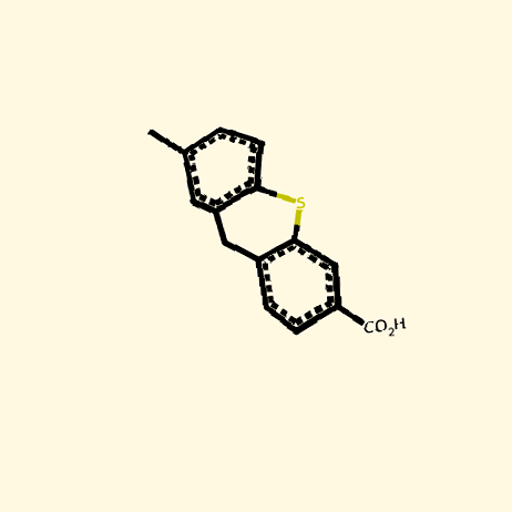 Cc1ccc2c(c1)Cc1ccc(C(=O)O)cc1S2